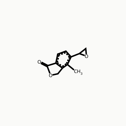 Cc1c(C2CO2)ccc2c1COC2=O